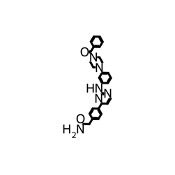 NC(=O)Cc1ccc(-c2ccnc(Nc3cccc(N4CCN(C(=O)c5ccccc5)CC4)c3)n2)cc1